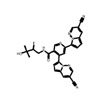 CC(C)(O)C(F)CNC(=O)c1cnc(-c2ccc3cc(C#N)cnn23)cc1-c1ccc2cc(C#N)cnn12